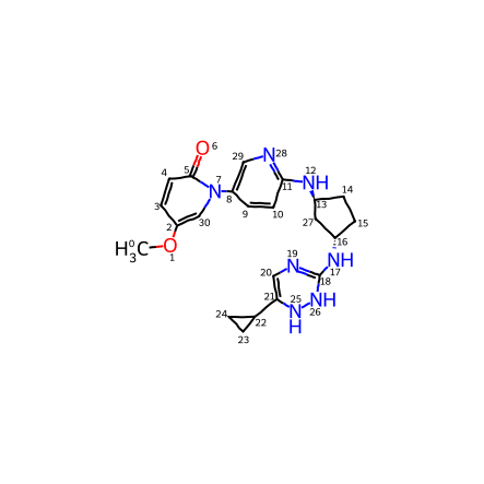 COc1ccc(=O)n(-c2ccc(N[C@H]3CC[C@H](NC4=NC=C(C5CC5)NN4)C3)nc2)c1